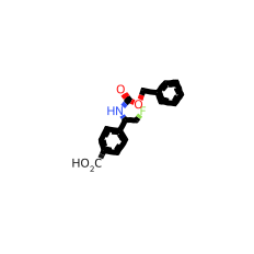 O=C(NC(CF)c1ccc(C(=O)O)cc1)OCc1ccccc1